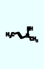 CC=CN(C)S